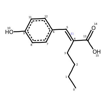 CCCC/C(=C\c1ccc(O)cc1)C(=O)O